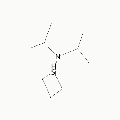 CC(C)N(C(C)C)[SiH]1CCC1